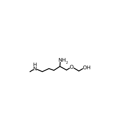 CNCCCC(N)COCO